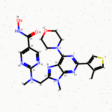 Cc1cscc1-c1nc(N2CCOCC2)c2nc(CN(C)c3ncc(C(=O)NO)cn3)n(C)c2n1